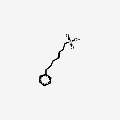 O=S(=O)(O)CCC=CCCCc1ccccc1